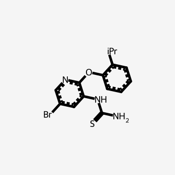 CC(C)c1ccccc1Oc1ncc(Br)cc1NC(N)=S